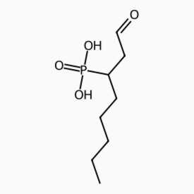 CCCCCC(CC=O)P(=O)(O)O